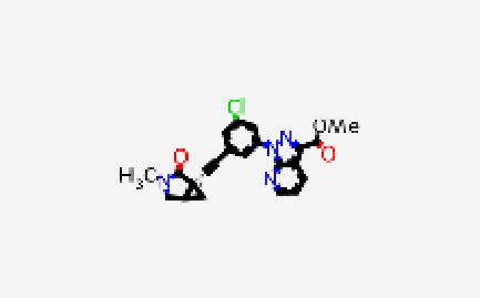 COC(=O)c1nn(-c2cc(Cl)cc(C#C[C@]34CC3CN(C)C4=O)c2)c2ncccc12